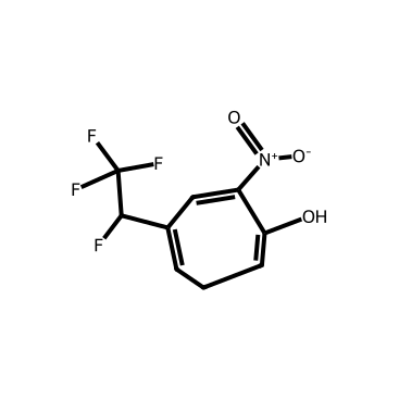 O=[N+]([O-])C1=CC(C(F)C(F)(F)F)=CCC=C1O